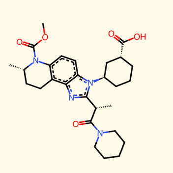 COC(=O)N1c2ccc3c(nc([C@H](C)C(=O)N4CCCCC4)n3[C@@H]3CCC[C@@H](C(=O)O)C3)c2CC[C@@H]1C